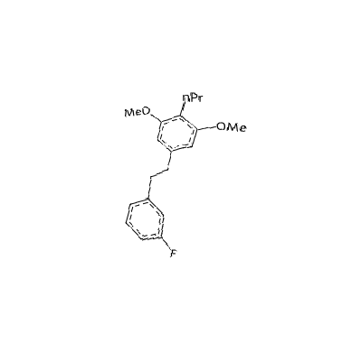 CCCc1c(OC)cc(CCc2cccc(F)c2)cc1OC